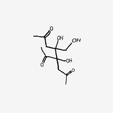 CC(=O)CC(O)(CO)C(O)(CC(C)=O)C(C)=O